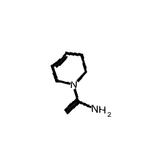 C=C(N)N1CC=CCC1